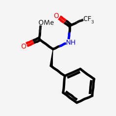 COC(=O)[C@H](Cc1ccccc1)NC(=O)C(F)(F)F